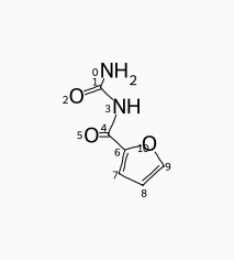 NC(=O)NC(=O)c1ccco1